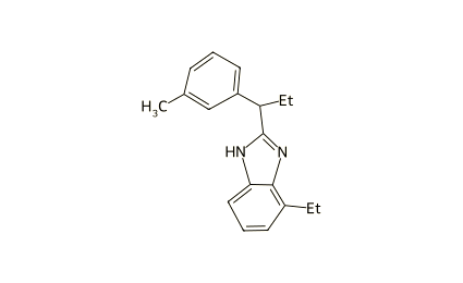 CCc1cccc2[nH]c(C(CC)c3cccc(C)c3)nc12